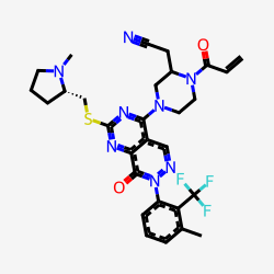 C=CC(=O)N1CCN(c2nc(SC[C@@H]3CCCN3C)nc3c(=O)n(-c4cccc(C)c4C(F)(F)F)ncc23)CC1CC#N